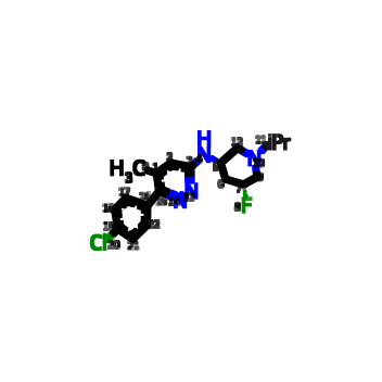 Cc1cc(N[C@@H]2C[C@@H](F)CN(C(C)C)C2)nnc1-c1ccc(Cl)cc1